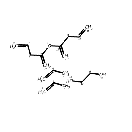 C=CC.C=CC.C=CCC(=C)OC(=C)CC=C.OCCO